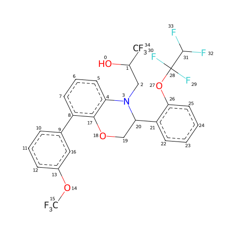 OC(CN1c2cccc(-c3cccc(OC(F)(F)F)c3)c2OCC1c1ccccc1OC(F)(F)C(F)F)C(F)(F)F